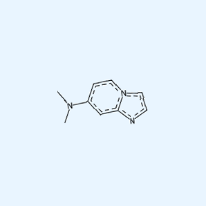 CN(C)c1ccn2ccnc2c1